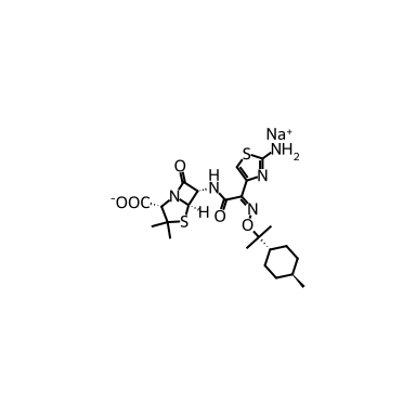 CC1(C)S[C@@H]2[C@@H](NC(=O)/C(=N\OC(C)(C)[C@H]3CC[C@H](C)CC3)c3csc(N)n3)C(=O)N2[C@H]1C(=O)[O-].[Na+]